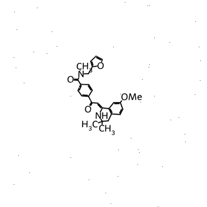 COc1ccc2c(c1)C(=CC(=O)c1ccc(C(=O)N(C)Cc3ccco3)cc1)NC(C)(C)C2